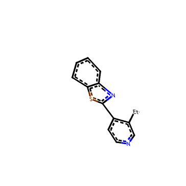 C[CH]c1cnccc1-c1nc2ccccc2s1